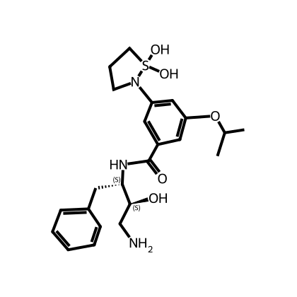 CC(C)Oc1cc(C(=O)N[C@@H](Cc2ccccc2)[C@@H](O)CN)cc(N2CCCS2(O)O)c1